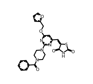 O=C1NC(=O)/C(=C\c2cc(OCc3ccco3)nc(N3CCN(C(=O)c4ccccc4)CC3)n2)S1